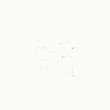 CC(=O)C1C(=O)N(CC2CC2)C(=O)N(c2cc(C#N)cc(C#N)c2)C1=O